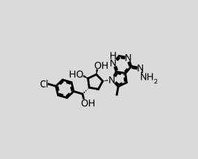 Cc1cc2/c(=N\N)nc[nH]c2n1[C@@H]1C[C@H](C(O)c2ccc(Cl)cc2)[C@@H](O)[C@H]1O